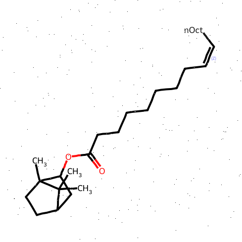 CCCCCCCC/C=C\CCCCCCCC(=O)OC1CC2CCC1(C)C2(C)C